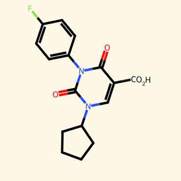 O=C(O)c1cn(C2CCCC2)c(=O)n(-c2ccc(F)cc2)c1=O